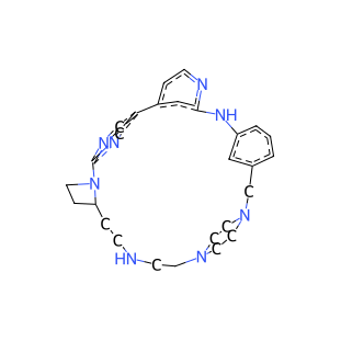 c1cc2cc(c1)Nc1cc(ccn1)-c1cnc(nc1)N1CCC1CCNCCN1CCN(CC1)C2